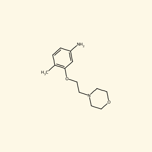 Cc1ccc(N)cc1OCCN1CCOCC1